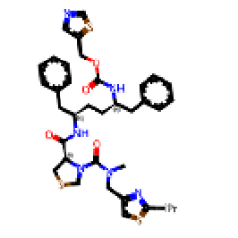 CC(C)c1nc(CN(C)C(=O)N2CSC[C@H]2C(=O)N[C@H](CC[C@H](Cc2ccccc2)NC(=O)OCc2cncs2)Cc2ccccc2)cs1